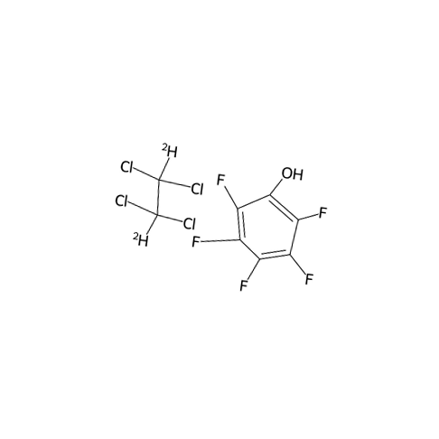 Oc1c(F)c(F)c(F)c(F)c1F.[2H]C(Cl)(Cl)C([2H])(Cl)Cl